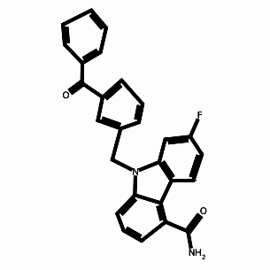 NC(=O)c1cccc2c1c1[c]cc(F)cc1n2Cc1cccc(C(=O)c2ccccc2)c1